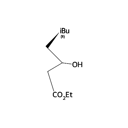 CCOC(=O)CC(O)C[C@H](C)CC